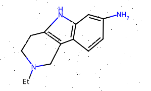 CCN1CCc2[nH]c3cc(N)ccc3c2C1